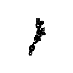 O=C1CN(c2cnn(Cc3nc(CCc4ccc(Cl)cc4)no3)c(=O)c2Cl)CCN1